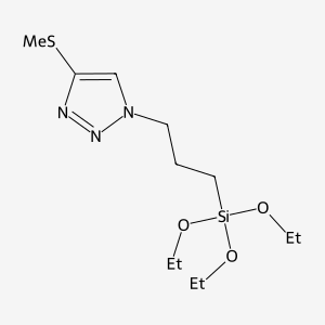 CCO[Si](CCCn1cc(SC)nn1)(OCC)OCC